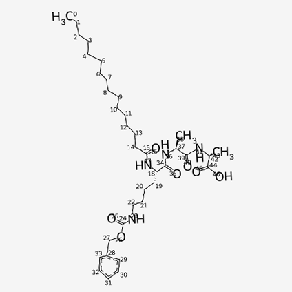 CCCCCCCCCCCCCCCC(=O)N[C@@H](CCCCNC(=O)OCc1ccccc1)C(=O)N[C@@H](C)C(=O)N[C@@H](C)C(=O)O